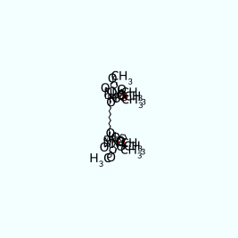 COc1ccc2c(c1)C(=O)N1CCC(OCCCCCCCCCOC3CCN4C(=O)c5cc(OC)ccc5N(C(=O)OC(C)(C)C)[C@@H](OC5CCCCO5)[C@H]34)[C@H]1[C@H](OC1CCCCO1)N2C(=O)OC(C)(C)C